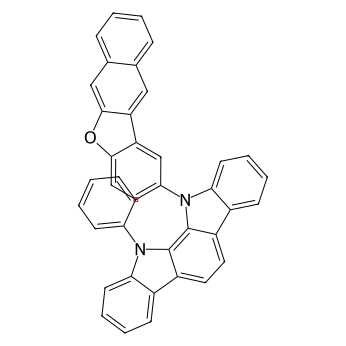 c1ccc(-n2c3ccccc3c3ccc4c5ccccc5n(-c5ccc6oc7cc8ccccc8cc7c6c5)c4c32)cc1